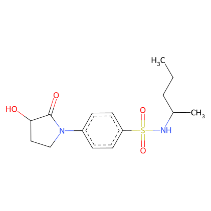 CCCC(C)NS(=O)(=O)c1ccc(N2CCC(O)C2=O)cc1